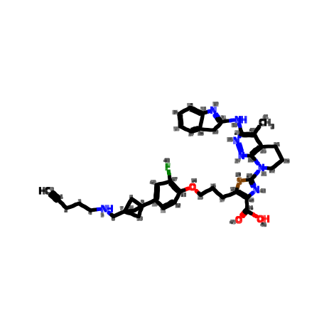 C#CCCCNCC12CC(c3ccc(OCCCc4sc(N5CCCc6c5nnc(NC5=Nc7ccccc7C5)c6C)nc4C(=O)O)c(F)c3)(C1)C2